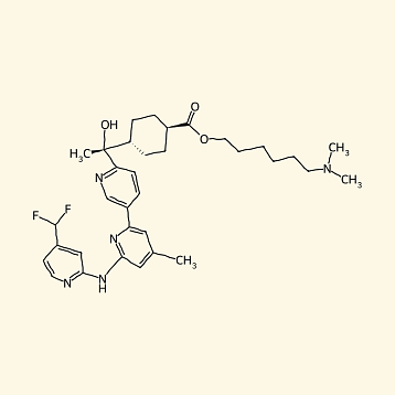 Cc1cc(Nc2cc(C(F)F)ccn2)nc(-c2ccc([C@](C)(O)[C@H]3CC[C@H](C(=O)OCCCCCCN(C)C)CC3)nc2)c1